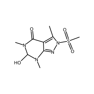 Cc1c2c(nn1S(C)(=O)=O)N(C)C(O)N(C)C2=O